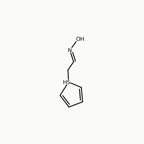 ON=[C]C[SH]1C=CC=C1